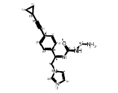 NSNC(=O)/N=C(/Cn1ccnc1)c1ccc(C#CC2CC2)cc1